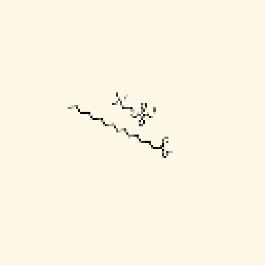 CCCCCCCCCCCCCCCC(=O)[O-].COS(=O)(=O)OCC[N+](C)(C)C